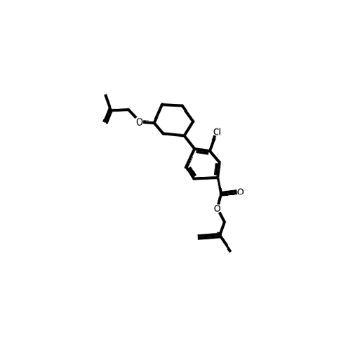 C=C(C)COC(=O)c1ccc(C2CCCC(OCC(=C)C)C2)c(Cl)c1